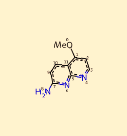 COc1ccnc2nc(N)ccc12